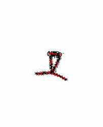 CCCCCCCCCCCC[N+](CCCCCCCCCCCC)(CCCCCCCCCCCC)CCCCCCCCCCCC.N.[O-]B(O)Oc1ccc(Cl)cc1